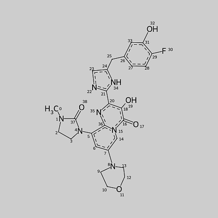 CN1CCN(c2cc(N3CCOCC3)cn3c(=O)c(O)c(-c4ncc(Cc5ccc(F)c(O)c5)[nH]4)nc23)C1=O